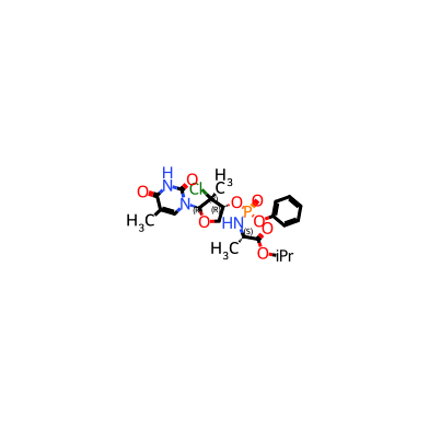 Cc1cn([C@@H]2OC[C@@H](OP(=O)(N[C@@H](C)C(=O)OC(C)C)Oc3ccccc3)[C@@]2(C)Cl)c(=O)[nH]c1=O